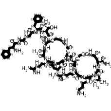 CC(C)C[C@@H]1NC(=O)[C@H](CCCCN)NC(=O)[C@H](CCCNC(=N)N)NC(=O)[C@@H](NC(=O)[C@@H]2CC(=O)NCCCC[C@H](NC(=O)[C@@H](NC(=O)[C@H](Cc3ccccc3)NC(=O)CNC(=O)CNC(=O)[C@@H](N)Cc3ccccc3)C(C)O)C(=O)N[C@@H](C)C(=O)N[C@@H](CCCNC(=N)N)C(=O)N[C@@H](CCCCN)C(=O)N2)CCCCNC(=O)C[C@@H](C(N)=O)NC1=O